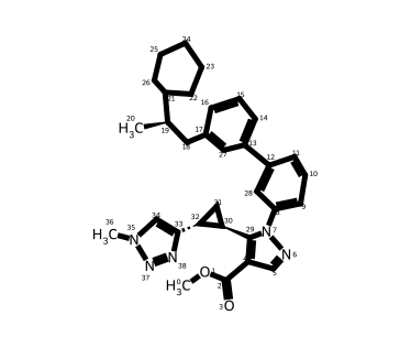 COC(=O)c1cnn(-c2cccc(-c3cccc(C[C@@H](C)C4CCCCC4)c3)c2)c1[C@@H]1C[C@H]1c1cn(C)nn1